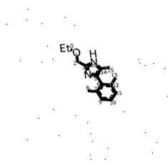 CCOCc1nc(-c2c(C)cccc2C)c(C)[nH]1